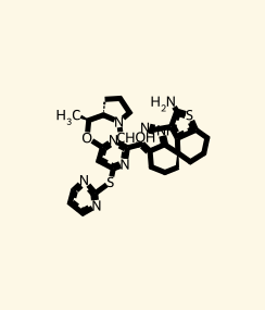 C[C@H](Oc1cc(Sc2ncccn2)nc(/C(O)=C2\CCC[C@@]3(CCCc4sc(N)c(C#N)c43)C2=N)n1)[C@@H]1CCCN1C